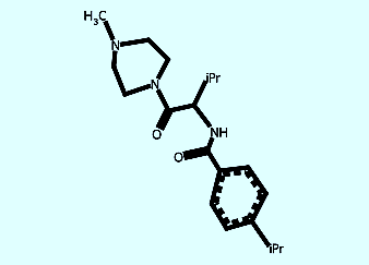 CC(C)c1ccc(C(=O)NC(C(=O)N2CCN(C)CC2)C(C)C)cc1